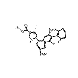 COc1cccc(F)c1-c1c(Cl)cc2c(N3C[C@@H](C)N(C(=O)OC(C)(C)C)C[C@@H]3C)nc(SC)nc2c1F